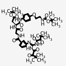 CC(C)(C)OC(=O)C[C@H](NC(=O)CNC(=O)c1cccc(N=C(NC(=O)C(=O)C(C)(C)C)NC(=O)C(=O)C(C)(C)C)c1)C(=O)Nc1ccc(OCCNC(=O)OC(C)(C)C)cc1